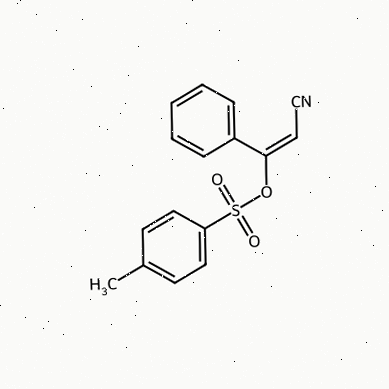 Cc1ccc(S(=O)(=O)O/C(=C/C#N)c2ccccc2)cc1